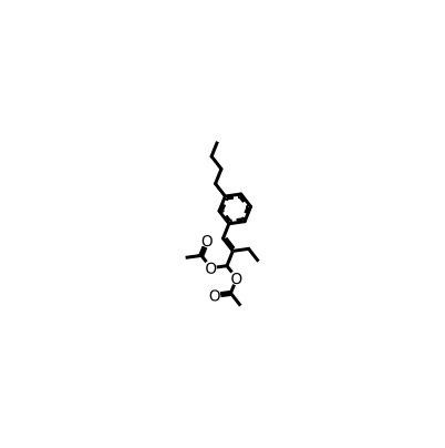 CCCCc1cccc(/C=C(\CC)C(OC(C)=O)OC(C)=O)c1